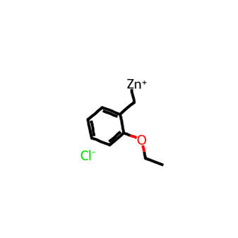 CCOc1ccccc1[CH2][Zn+].[Cl-]